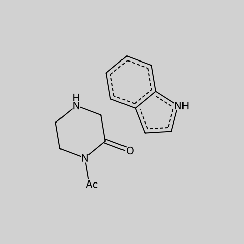 CC(=O)N1CCNCC1=O.c1ccc2[nH]ccc2c1